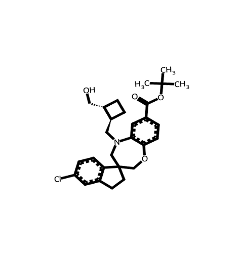 CC(C)(C)OC(=O)c1ccc2c(c1)N(C[C@@H]1CC[C@H]1CO)CC1(CCc3cc(Cl)ccc31)CO2